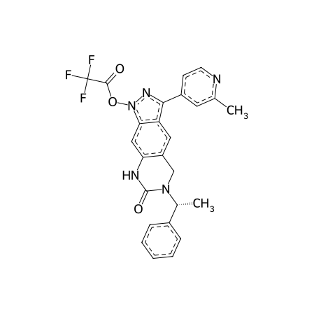 Cc1cc(-c2nn(OC(=O)C(F)(F)F)c3cc4c(cc23)CN([C@H](C)c2ccccc2)C(=O)N4)ccn1